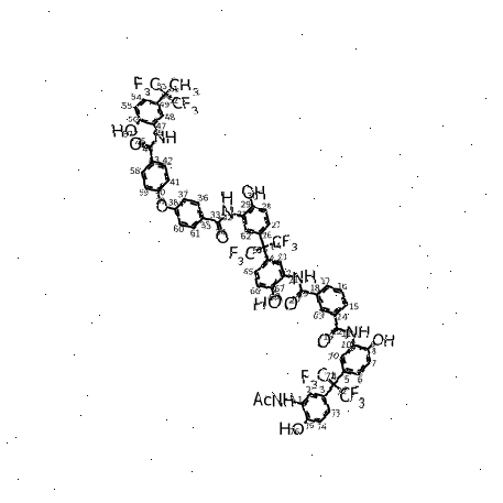 CC(=O)Nc1cc(C(c2ccc(O)c(NC(=O)c3cccc(C(=O)Nc4cc(C(c5ccc(O)c(NC(=O)c6ccc(Oc7ccc(C(=O)Nc8cc(C(C)(C(F)(F)F)C(F)(F)F)ccc8O)cc7)cc6)c5)(C(F)(F)F)C(F)(F)F)ccc4O)c3)c2)(C(F)(F)F)C(F)(F)F)ccc1O